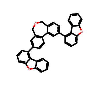 c1ccc2c(c1)oc1cccc(-c3ccc4c(c3)COCc3ccc(-c5cccc6oc7ccccc7c56)cc3-4)c12